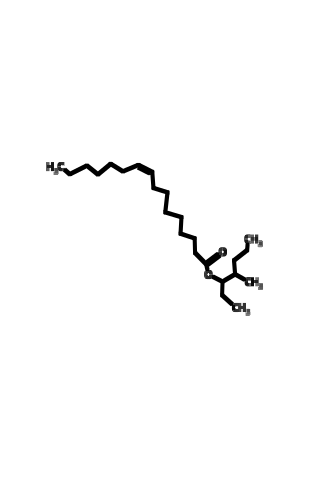 CCCCCC/C=C\CCCCCCCC(=O)OC(CC)C(C)CCC